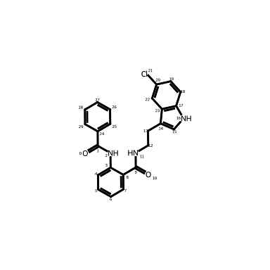 O=C(Nc1ccccc1C(=O)NCCc1c[nH]c2ccc(Cl)cc12)c1ccccc1